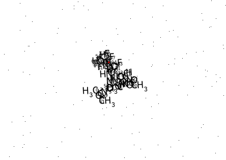 C[C@@H]1CN(c2ccc3c(=O)n(-c4ccc(Cl)c5c(NS(C)(=O)=O)nn(C)c45)c([C@H](Cc4cc(F)cc(F)c4)NC(=O)Cn4nc(C(F)F)c5c4C(F)(F)[C@@H]4C[C@H]54)nc3c2)C[C@H](C)O1